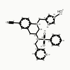 Cl.N#Cc1ccc2c(c1)CC(N(Cc1cccnc1)S(=O)(=O)c1ccccc1)CN2Cc1cn(I)cn1